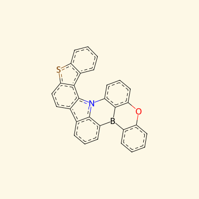 c1ccc2c(c1)Oc1cccc3c1B2c1cccc2c4ccc5sc6ccccc6c5c4n-3c12